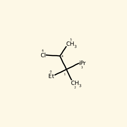 CCC(C)(C(C)C)C(C)Cl